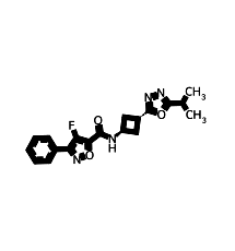 CC(C)c1nnc([C@H]2C[C@H](NC(=O)c3onc(-c4ccccc4)c3F)C2)o1